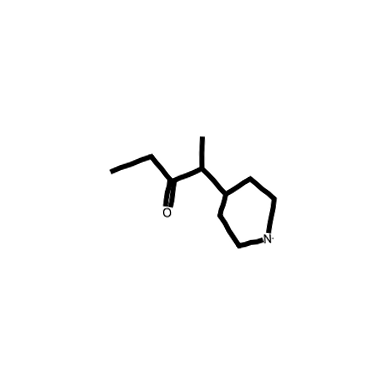 CCC(=O)C(C)C1CC[N]CC1